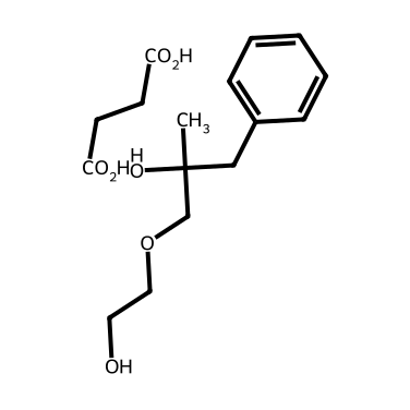 CC(O)(COCCO)Cc1ccccc1.O=C(O)CCC(=O)O